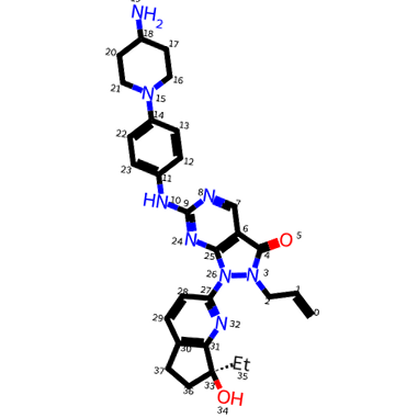 C=CCn1c(=O)c2cnc(Nc3ccc(N4CCC(N)CC4)cc3)nc2n1-c1ccc2c(n1)[C@](O)(CC)CC2